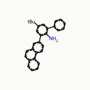 CC(C)(C)c1cc(-c2ccccc2)c(N)c(-c2ccc3c(ccc4ccccc43)c2)c1